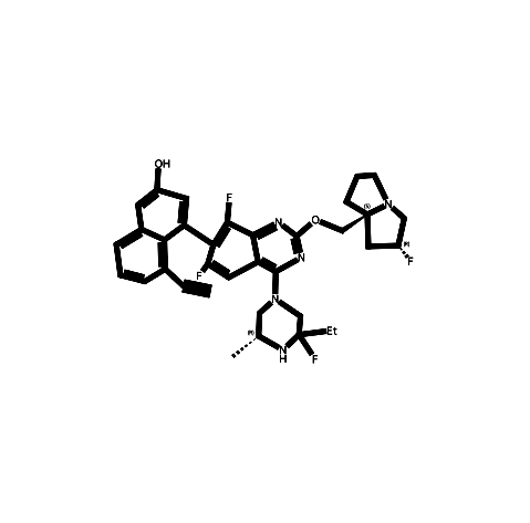 C#Cc1cccc2cc(O)cc(-c3c(F)cc4c(N5C[C@@H](C)NC(F)(CC)C5)nc(OC[C@@]56CCCN5C[C@H](F)C6)nc4c3F)c12